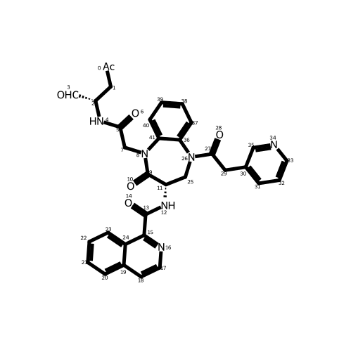 CC(=O)C[C@@H](C=O)NC(=O)CN1C(=O)[C@@H](NC(=O)c2nccc3ccccc23)CN(C(=O)Cc2cccnc2)c2ccccc21